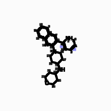 C/C=C\N=C(/N)c1cc2ccccc2nc1N1CCC(NC2CCOCC2)CC1